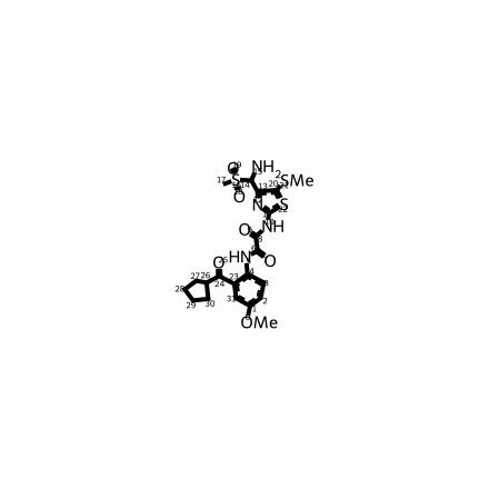 COc1ccc(NC(=O)C(=O)Nc2nc(C(N)S(C)(=O)=O)c(SC)s2)c(C(=O)C2CCCC2)c1